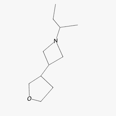 CCC(C)N1CC(C2CCOC2)C1